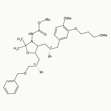 COCCCOc1cc(C[C@@H](CC2C(C[C@@H](COCc3ccccc3)C(C)C)OC(C)(C)N2NC(=O)OC(C)(C)C)C(C)C)ccc1OC